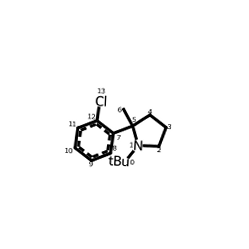 CC(C)(C)N1CCCC1(C)c1ccccc1Cl